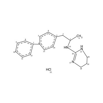 CC(Cc1ccc(-c2ccccc2)cc1)NC1=NCCCN1.Cl